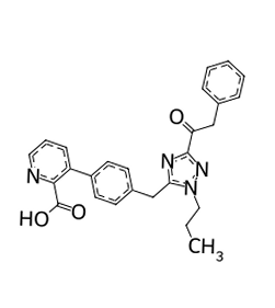 CCCn1nc(C(=O)Cc2ccccc2)nc1Cc1ccc(-c2cccnc2C(=O)O)cc1